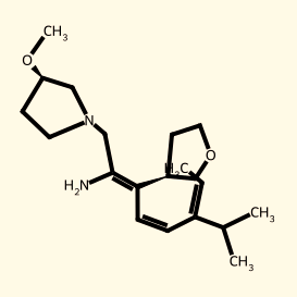 C\C=C(/C=C\C(=C(/N)CN1CC[C@@H](OC)C1)[C@H]1CCOC1)C(C)C